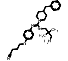 CC(C)(CN)CN/C(=N\c1ccc(OCCCC#N)cc1)N1CCC(Cc2ccccc2)CC1